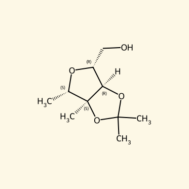 C[C@@H]1O[C@H](CO)[C@H]2OC(C)(C)O[C@@]12C